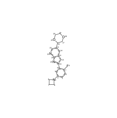 Fc1ccc(N2CCC2)cc1-n1cc2cc(C3COCCO3)cnc2n1